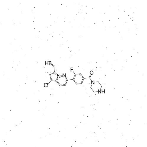 B=Cc1cc(Cl)c2ccc(-c3ccc(C(=O)N4CCNCC4)cc3F)nn12